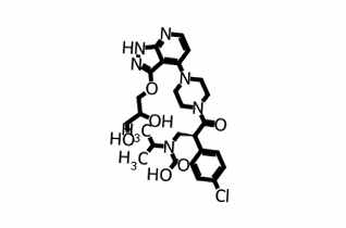 CC(C)N(C[C@@H](C(=O)N1CCN(c2ccnc3[nH]nc(OCC(O)CO)c23)CC1)c1ccc(Cl)cc1)C(=O)O